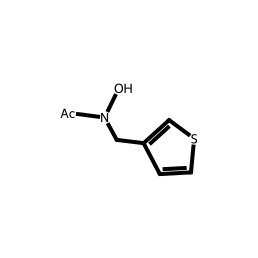 CC(=O)N(O)Cc1ccsc1